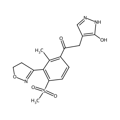 Cc1c(C(=O)Cc2cn[nH]c2O)ccc(S(C)(=O)=O)c1C1=NOCC1